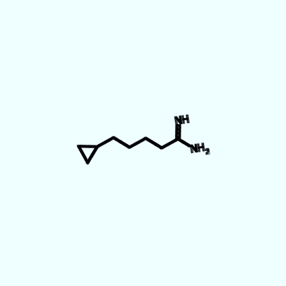 N=C(N)CCCCC1CC1